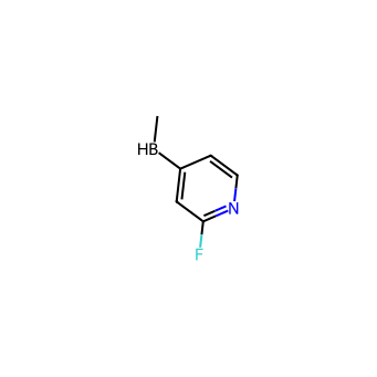 CBc1ccnc(F)c1